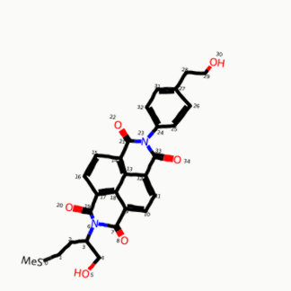 CSCCC(CO)N1C(=O)c2ccc3c4c(ccc(c24)C1=O)C(=O)N(c1ccc(CCO)cc1)C3=O